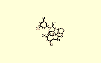 O=C1C2C3CCCN3C3(C(=O)Nc4c(Cl)cc(Cl)cc43)C2C(=O)N1c1cc(Cl)cc(Cl)n1